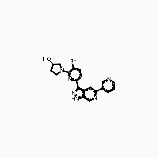 O[C@H]1CCN(c2nc(-c3n[nH]c4cnc(-c5cccnc5)cc34)ccc2Br)C1